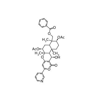 CC(=O)O[C@H]1CC[C@@]2(C)C(C[C@H](OC(C)=O)[C@@]3(C)Oc4cc(-c5cccnc5)oc(=O)c4[C@H](O)C23)C1(C)COC(=O)c1ccccc1